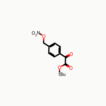 CC(C)(C)OC(=O)C(=O)c1ccc(CO[N+](=O)[O-])cc1